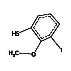 COc1c(S)cccc1I